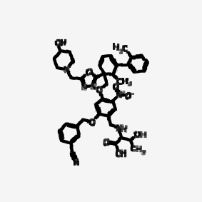 Cc1ccccc1C1=CC=CC(COc2cc(OCc3cccc(C#N)c3)c(CNC(C(=O)O)C(C)O)cc2[N+](=O)[O-])(c2nnc(CN3CCC(O)CC3)o2)C1C